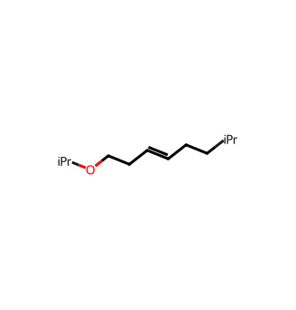 CC(C)CC/C=C/CCOC(C)C